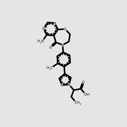 CCC(C(=O)O)n1cc(-c2ccc(N3CCOc4ncnc(N)c4C3=O)cc2C)cn1